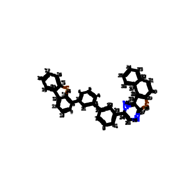 c1cc(-c2cccc(-c3cccc4c3sc3ccccc34)c2)cc(-c2cnc3sc4ccc5ccccc5c4c3n2)c1